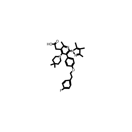 Cc1nn(-c2nc(C)c(CC(=O)O)c(N3CCC(C)(C)CC3)c2-c2ccc(OCCc3ccc(F)cc3)cc2)c(C)c1C